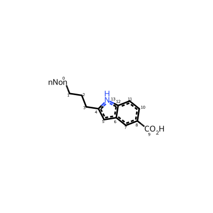 CCCCCCCCCCCCc1cc2cc(C(=O)O)ccc2[nH]1